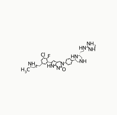 C[C@H](N)CCCc1cc(Cl)c(F)c(-c2cc3cn(-c4ccc([C@@H]5CNC[C@@H](CCNC(=N)N)N5)cc4)c(=O)nc3[nH]2)c1